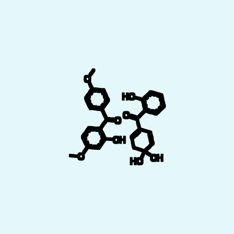 COc1ccc(C(=O)c2ccc(OC)cc2O)cc1.O=C(C1=CCC(O)(O)C=C1)c1ccccc1O